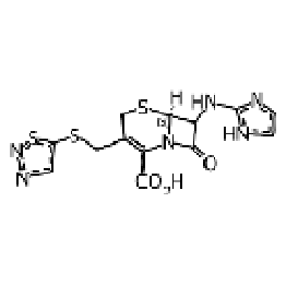 O=C(O)C1=C(CSc2cnns2)CS[C@H]2C(Nc3ncc[nH]3)C(=O)N12